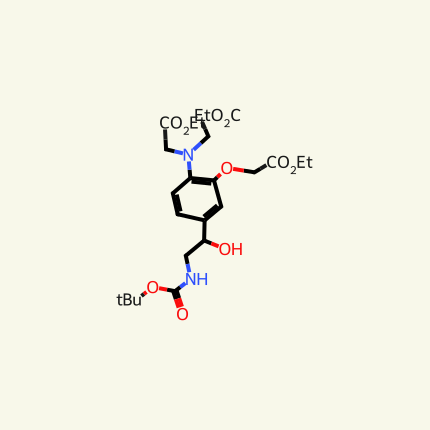 CCOC(=O)COc1cc(C(O)CNC(=O)OC(C)(C)C)ccc1N(CC(=O)OCC)CC(=O)OCC